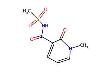 Cn1c[c]cc(C(=O)NS(C)(=O)=O)c1=O